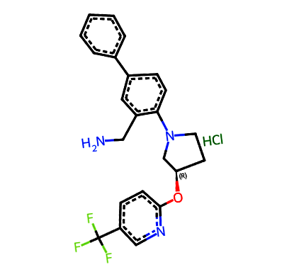 Cl.NCc1cc(-c2ccccc2)ccc1N1CC[C@@H](Oc2ccc(C(F)(F)F)cn2)C1